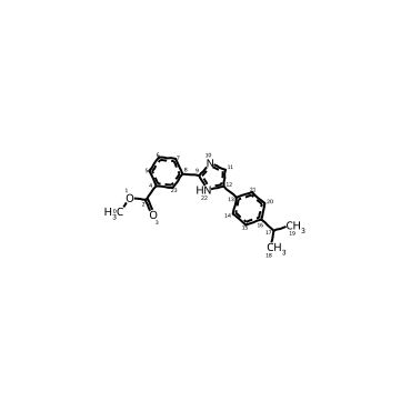 COC(=O)c1cccc(-c2ncc(-c3ccc(C(C)C)cc3)[nH]2)c1